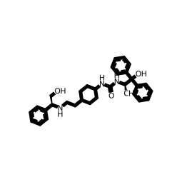 C[C@@H](NC(=O)NC1CCC(CCN[C@H](CO)c2ccccc2)CC1)C(O)(c1ccccc1)c1ccccc1